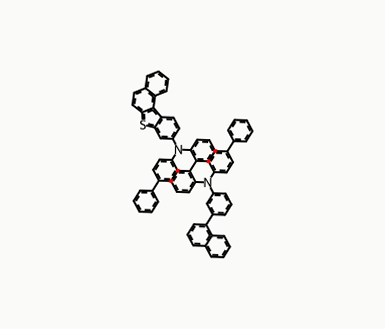 c1ccc(-c2ccc(N(c3cccc(-c4cccc5ccccc45)c3)c3ccccc3-c3ccccc3N(c3ccc(-c4ccccc4)cc3)c3ccc4c(c3)sc3ccc5ccccc5c34)cc2)cc1